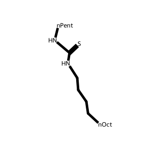 CCCCCCCCCCCCNC(=S)NCCCCC